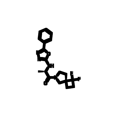 C[C@H](Nc1nnc(-c2ccccc2)o1)C(=O)N1CC[C@@]2(CCC2(F)F)C1